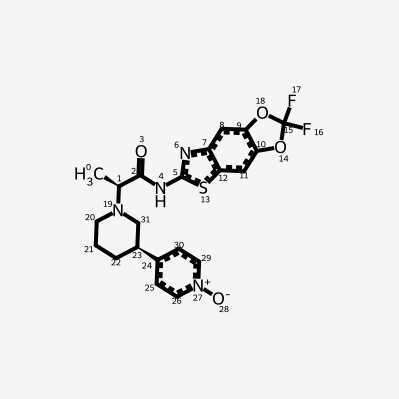 C[C@@H](C(=O)Nc1nc2cc3c(cc2s1)OC(F)(F)O3)N1CCC[C@H](c2cc[n+]([O-])cc2)C1